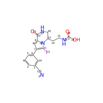 N#Cc1cccc(-c2cc3n(c2I)C(CCNC(=O)O)CNC3=O)c1